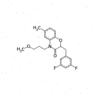 COCCCN1C(=O)C(Cc2cc(F)cc(F)c2)Oc2ccc(C)cc21